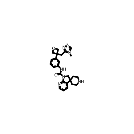 Cn1cnnc1CC1(c2cccc(NC(=O)N3CC4(CCNCC4)c4cccnc43)c2)COC1